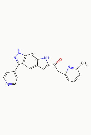 Cc1cccc(CC(=O)c2cc3cc4c(-c5ccncc5)n[nH]c4cc3[nH]2)n1